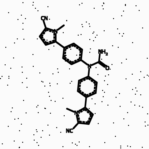 Cn1c(C#N)ccc1-c1ccc(N(C(N)=O)c2ccc(-c3ccc(C#N)n3C)cc2)cc1